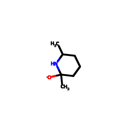 CC1CCCC(C)([O])N1